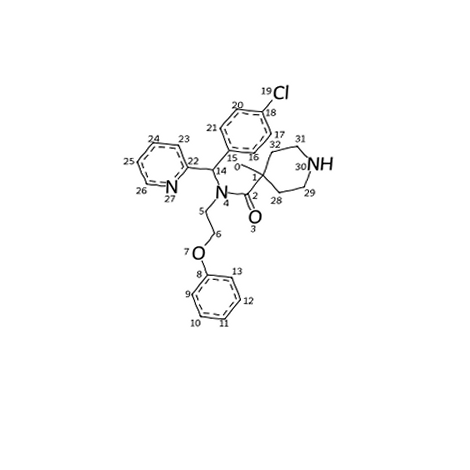 CC1(C(=O)N(CCOc2ccccc2)C(c2ccc(Cl)cc2)c2ccccn2)CCNCC1